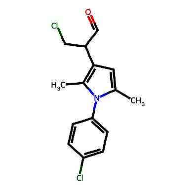 Cc1cc(C(C=O)CCl)c(C)n1-c1ccc(Cl)cc1